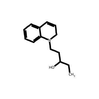 CCC(O)CCN1CC=Cc2ccccc21